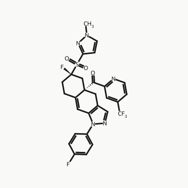 Cn1ccc(S(=O)(=O)[C@@]2(F)CCC3=Cc4c(cnn4-c4ccc(F)cc4)C[C@]3(C(=O)c3cc(C(F)(F)F)ccn3)C2)n1